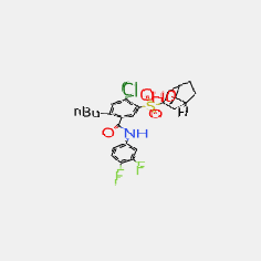 CCCCc1cc(Cl)c(S(=O)(=O)[C@H]2CC3CC[C@H](C2)[C@]3(C)O)cc1C(=O)Nc1ccc(F)c(F)c1